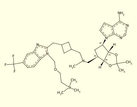 CN(CC1CC(Cc2nc3cc(C(F)(F)F)ccc3n2COCC[Si](C)(C)C)C1)C[C@H]1C[C@@H](n2ccc3c(N)ncnc32)[C@@H]2OC(C)(C)O[C@H]12